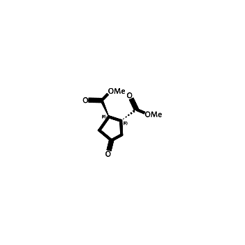 COC(=O)[C@@H]1CC(=O)C[C@H]1C(=O)OC